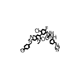 CCn1c(=O)c(-c2cc(NC(=O)Nc3cccc(CN4CCN(C)CC4)c3)c(F)cc2Cl)cc2cnc(N(C)Cc3ccc(OC)cc3)cc21